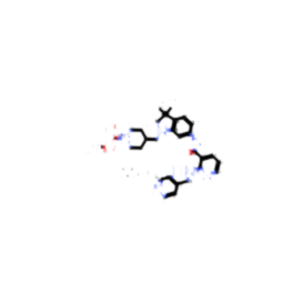 COc1cc(CNc2ncccc2C(=O)Nc2ccc3c(c2)N(CC2CCN(C(=O)OC(C)(C)C)CC2)CC3(C)C)ccn1